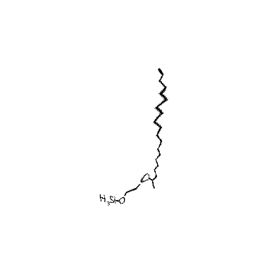 C=CCCCCCCCCCCCCCCCCC(C)OCCO[SiH3]